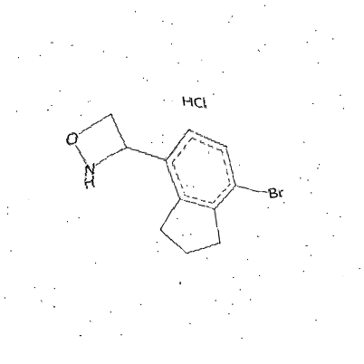 Brc1ccc(C2CON2)c2c1CCC2.Cl